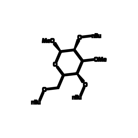 CCCCOCC1O[C@@H](OC)[C@@H](OCCCC)C(OC)[C@H]1OCCCC